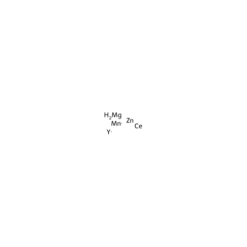 [Ce].[MgH2].[Mn].[Y].[Zn]